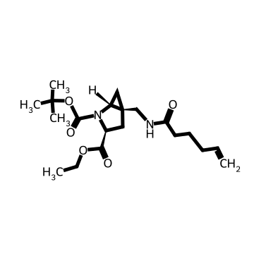 C=CCCCC(=O)NC[C@@]12C[C@@H](C(=O)OCC)N(C(=O)OC(C)(C)C)[C@@H]1C2